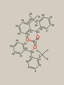 CC(C)(C)c1ccccc1C(OC(=O)OC(c1ccccc1)c1ccccc1C(C)(C)C)c1ccccc1